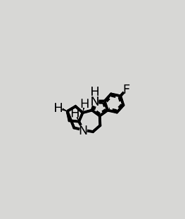 Fc1ccc2c3c([nH]c2c1)[C@@H]1C[C@H]2C[C@@H]1N(CC3)C2